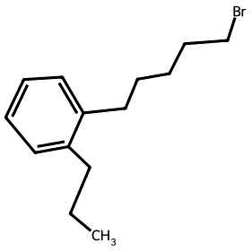 CCCc1ccccc1CCCCCBr